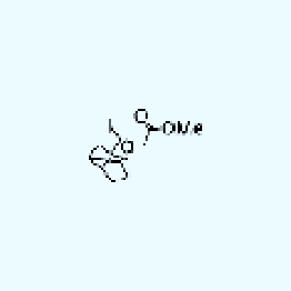 COC(=O)COC1C2CC3C1CC3(CI)C2